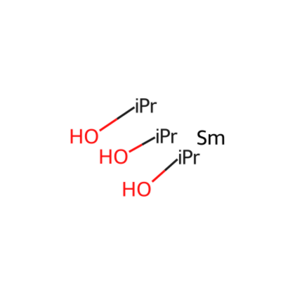 CC(C)O.CC(C)O.CC(C)O.[Sm]